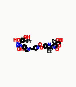 CCc1c2c(nc3ccc(OC(=O)N4CCC(CCn5ccc6cc(-n7c(O)nnc7-c7cc(C(C)C)c(O)cc7O)ccc65)CC4)cc13)-c1cc3c(c(=O)n1C2)OCC(=O)C3(O)CC